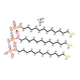 O=P([O-])([O-])OCCCCCCCCCCCCS.O=P([O-])([O-])OCCCCCCCCCCCCS.O=P([O-])([O-])OCCCCCCCCCCCCS.[Y+3].[Y+3]